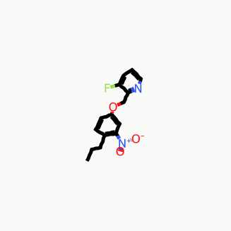 CCCc1ccc(OCc2ncccc2F)cc1[N+](=O)[O-]